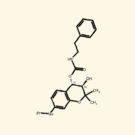 CC(C)Nc1ccc2c(c1)OC(C)(C)[C@H](O)[C@H]2OC(=O)NCCc1ccccc1